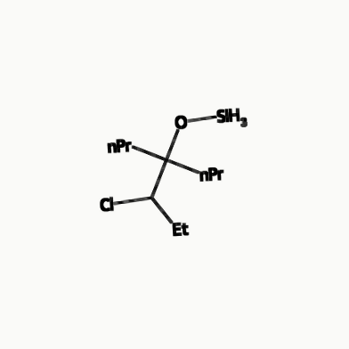 CCCC(CCC)(O[SiH3])C(Cl)CC